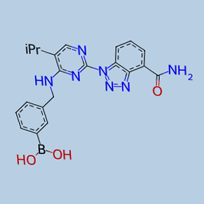 CC(C)c1cnc(-n2nnc3c(C(N)=O)cccc32)nc1NCc1cccc(B(O)O)c1